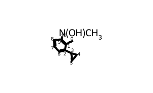 Cc1c(C2CC2)cccc1N(C)O